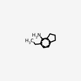 CCc1ccc2c(c1N)CCC2